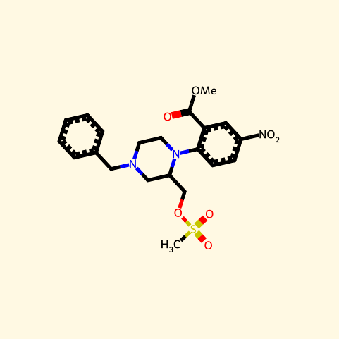 COC(=O)c1cc([N+](=O)[O-])ccc1N1CCN(Cc2ccccc2)CC1COS(C)(=O)=O